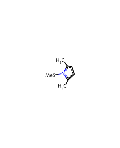 CSn1c(C)ccc1C